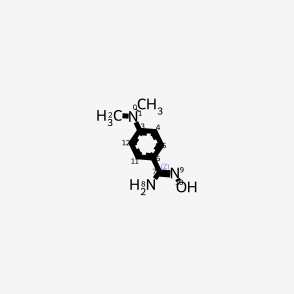 CN(C)c1ccc(/C(N)=N/O)cc1